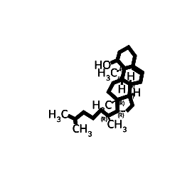 CC(C)CCC[C@@H](C)[C@H]1CC[C@H]2[C@@H]3CC=C4CCCC(O)[C@]4(C)[C@H]3CC[C@]12C